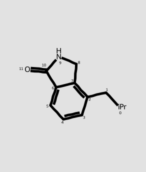 CC(C)Cc1cccc2c1CNC2=O